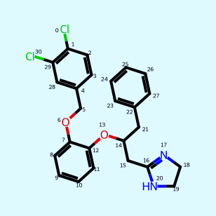 Clc1ccc(COc2ccccc2OC(CC2=NCCN2)Cc2ccccc2)cc1Cl